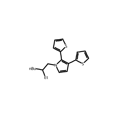 CCCCC(CC)Cn1ccc(-c2cccs2)c1-c1cccs1